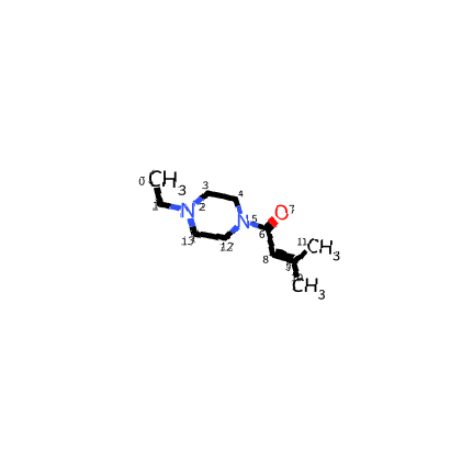 CCN1CCN(C(=O)C=C(C)C)CC1